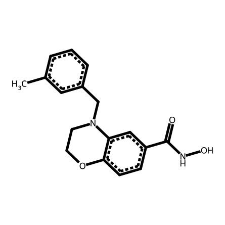 Cc1cccc(CN2CCOc3ccc(C(=O)NO)cc32)c1